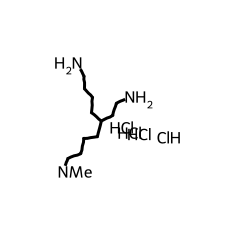 CNCCCCC(CCN)CCCCN.Cl.Cl.Cl.Cl